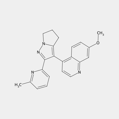 COc1ccc2c(-c3c(-c4cccc(C)n4)nn4c3CCC4)ccnc2c1